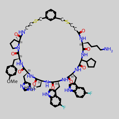 COc1ccc(C[C@@H]2NC(=O)[C@H](Cc3c[nH]cn3)NC(=O)[C@H](CC(=O)O)NC(=O)[C@H](Cc3c[nH]c4ccc(F)cc34)NC(=O)[C@H](Cc3c[nH]c4ccc(F)cc34)NC(=O)C(C3CCCC3)NC(=O)[C@H](CCCCN)NC(=O)CCSCc3cccc(c3)CSCCNC(=O)[C@]3(C)CCCN3C2=O)cc1